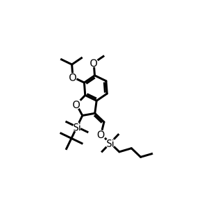 CCCC[Si](C)(C)OC=C1c2ccc(OC)c(OC(C)C)c2OC1[Si](C)(C)C(C)(C)C